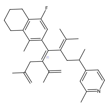 C=C(C)C/C(C(=C)C)=C(/C(CC(C)c1ccnc(C)c1)=C(C)C)c1cc(F)c2c(c1C)CCCC2